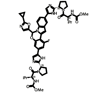 COC(=O)N[C@H](C(=O)N1CCC[C@H]1c1ncc(-c2cc(F)c3c(c2)OC(c2cnc(C4CC4)o2)n2c-3cc3cc(-c4cnc([C@@H]5CCCN5C(=O)[C@@H](NC(=O)OC)C(C)C)[nH]4)ccc32)[nH]1)C(C)C